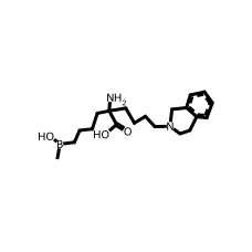 CB(O)CCCCC(N)(CCCCN1CCc2ccccc2C1)C(=O)O